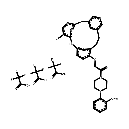 COc1ccccc1N1CCN(C(=O)COc2ccc3cc2CCc2cncc(c2)Nc2ncc(Cl)c(n2)N3)CC1.O=C(O)C(F)(F)F.O=C(O)C(F)(F)F.O=C(O)C(F)(F)F